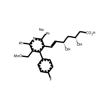 COCc1c(C(C)C)nc(C(C)C)c(C=C[C@@H](O)C[C@@H](O)CC(=O)O)c1-c1ccc(F)cc1.[Na]